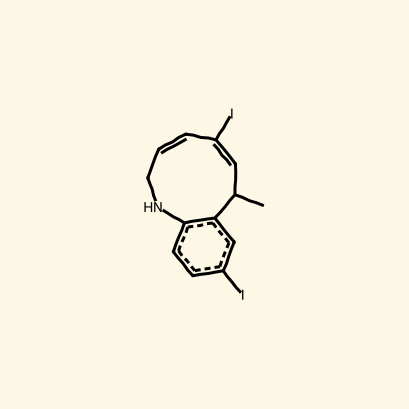 CC1/C=C(I)\C=C/CNc2ccc(I)cc21